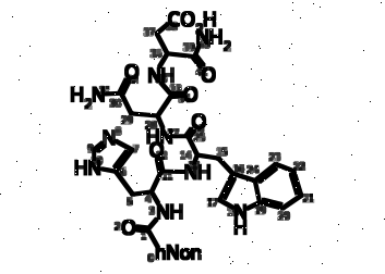 CCCCCCCCCC(=O)NC(Cc1cnc[nH]1)C(=O)NC(Cc1c[nH]c2ccccc12)C(=O)NC(CC(N)=O)C(=O)NC(CC(=O)O)C(N)=O